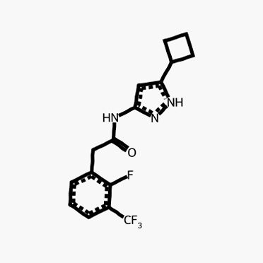 O=C(Cc1cccc(C(F)(F)F)c1F)Nc1cc(C2CCC2)[nH]n1